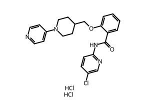 Cl.Cl.O=C(Nc1ccc(Cl)cn1)c1ccccc1OCC1CCN(c2ccncc2)CC1